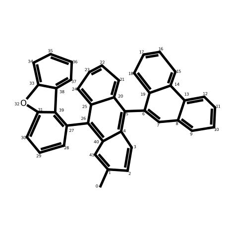 Cc1ccc2c(-c3cc4ccccc4c4ccccc34)c3ccccc3c(-c3cccc4oc5ccccc5c34)c2c1